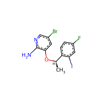 C[C@@H](Oc1cc(Br)cnc1N)c1ccc(F)cc1I